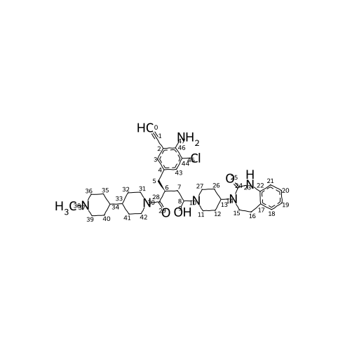 C#Cc1cc(C[C@@H](CC(O)N2CCC(N3CCc4ccccc4NC3=O)CC2)C(=O)N2CCC(C3CCN(C)CC3)CC2)cc(Cl)c1N